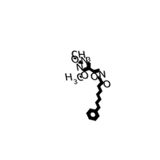 COc1ncc(-c2cnc(C(=O)CCCCCCc3ccccc3)o2)c(OC)n1